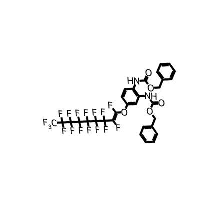 O=C(Nc1ccc(OC(F)=C(F)C(F)(F)C(F)(F)C(F)(F)C(F)(F)C(F)(F)C(F)(F)C(F)(F)F)cc1NC(=O)OCc1ccccc1)OCc1ccccc1